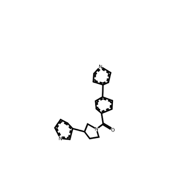 O=C(c1ccc(-c2ccncc2)cc1)N1CCC(c2cccnc2)C1